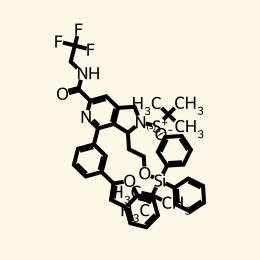 CC(C)(C)[S@@+]([O-])N1Cc2cc(C(=O)NCC(F)(F)F)nc(-c3cccc(-c4cc5ccccc5o4)c3)c2C1CCO[Si](c1ccccc1)(c1ccccc1)C(C)(C)C